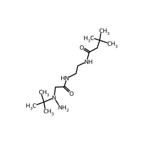 CC(C)(C)CC(=O)NCCNC(=O)CN(N)C(C)(C)C